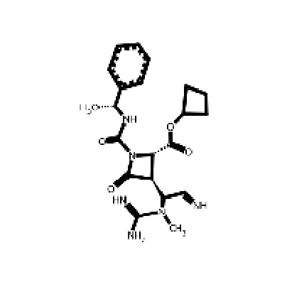 C[C@@H](NC(=O)N1C(=O)[C@H](C(C=N)N(C)C(=N)N)[C@H]1C(=O)OC1CCC1)c1ccccc1